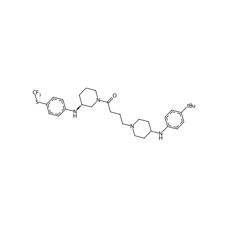 CC(C)(C)c1ccc(NC2CCN(CCCC(=O)N3CCC[C@H](Nc4ccc(SC(F)(F)F)cc4)C3)CC2)cc1